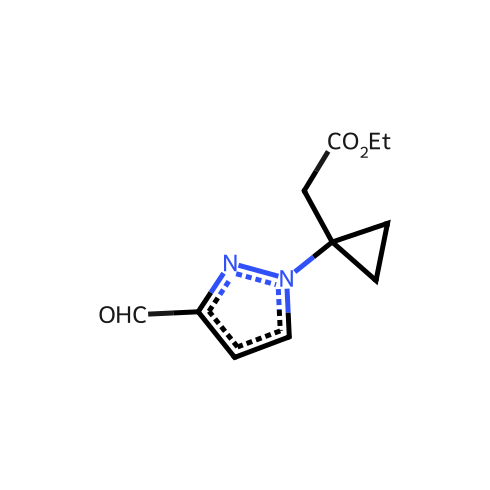 CCOC(=O)CC1(n2ccc(C=O)n2)CC1